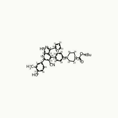 Cc1cc(-c2nc3[nH]nc(-c4ccco4)c3c(-c3ccc(N4CCN(C(=O)OC(C)(C)C)CC4)cc3)c2C#N)ccc1O